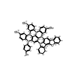 CC(C)c1ccc(N2c3ccc(C(C)(C)C)cc3B3c4cc(C(C)(C)C)ccc4N4c5ccc(C(C)(C)C)cc5B5c6c(cc2c3c64)-n2c3c(c4c6oc7ccccc7c6cc5c42)CCC=C3)cc1